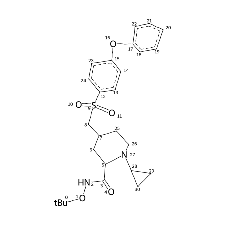 CC(C)(C)ONC(=O)C1CC(CS(=O)(=O)c2ccc(Oc3ccccc3)cc2)CCN1C1CC1